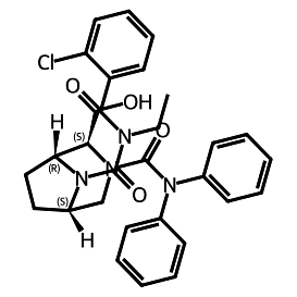 CCN(Cc1ccccc1Cl)C(=O)N1[C@H]2CC[C@@H]1[C@@H](C(=O)O)N(C(=O)N(c1ccccc1)c1ccccc1)C2